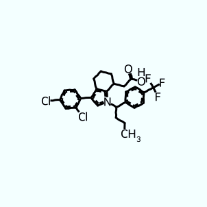 CCCC(c1ccc(C(F)(F)F)cc1)n1cc(-c2ccc(Cl)cc2Cl)c2c1C(CC(=O)O)CCC2